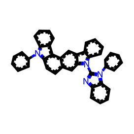 c1ccc(-n2c(-n3c4ccccc4c4cc5c(ccc6c5c5ccccc5n6-c5ccccc5)cc43)nc3ccccc32)cc1